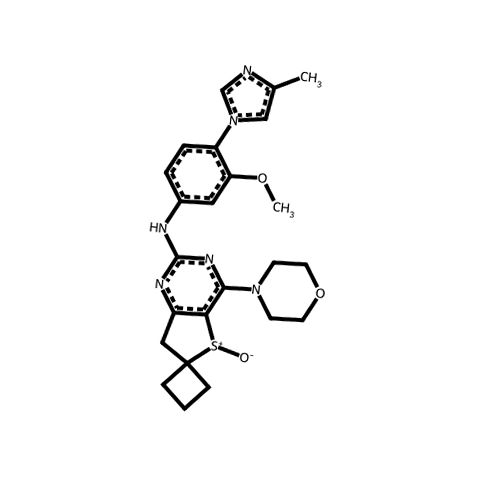 COc1cc(Nc2nc3c(c(N4CCOCC4)n2)[S+]([O-])C2(CCC2)C3)ccc1-n1cnc(C)c1